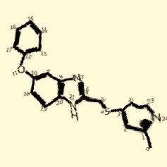 Cc1cc(SCc2nc3cc(Oc4ccccc4)ccc3[nH]2)ccn1